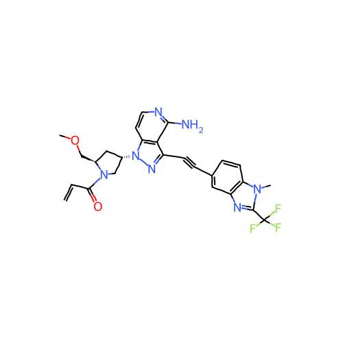 C=CC(=O)N1C[C@@H](n2nc(C#Cc3ccc4c(c3)nc(C(F)(F)F)n4C)c3c(N)nccc32)C[C@@H]1COC